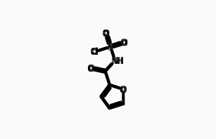 O=C(NS(=O)(=O)Cl)c1ccco1